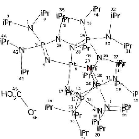 CC(C)N(C(C)C)P(=N[P+](N=P(N(C(C)C)C(C)C)(N(C(C)C)C(C)C)N(C(C)C)C(C)C)(N=P(N(C(C)C)C(C)C)(N(C(C)C)C(C)C)N(C(C)C)C(C)C)N=P(N(C(C)C)C(C)C)(N(C(C)C)C(C)C)N(C(C)C)C(C)C)(N(C(C)C)C(C)C)N(C(C)C)C(C)C.O=C([O-])O